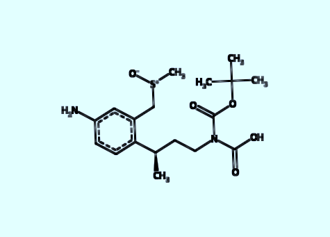 C[C@H](CCN(C(=O)O)C(=O)OC(C)(C)C)c1ccc(N)cc1C[S+](C)[O-]